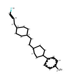 CCCc1ccc(C2CCC(CCC3CCC(CC=CF)CC3)CC2)cc1